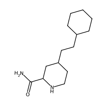 NC(=O)C1CC(CCC2CCCCC2)CCN1